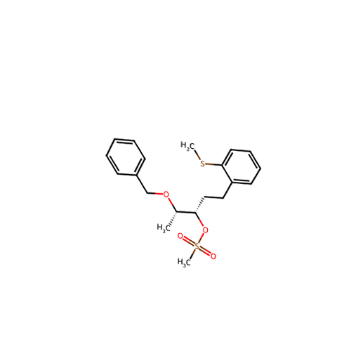 CSc1ccccc1CC[C@H](OS(C)(=O)=O)[C@H](C)OCc1ccccc1